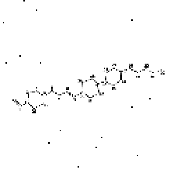 C=CC1CCC(CCC=CC2CCC(C3CCC(CCCCC)CC3)CC2)CC1